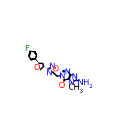 Cn1c(N)nc2ncn(Cc3nc([C@@H]4CO[C@@H](c5ccc(F)cc5)C4)no3)c(=O)c21